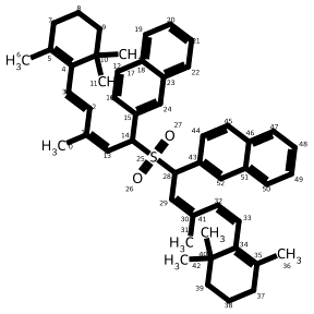 CC(C=CC1=C(C)CCCC1(C)C)=CC(c1ccc2ccccc2c1)S(=O)(=O)C(C=C(C)C=CC1=C(C)CCCC1(C)C)c1ccc2ccccc2c1